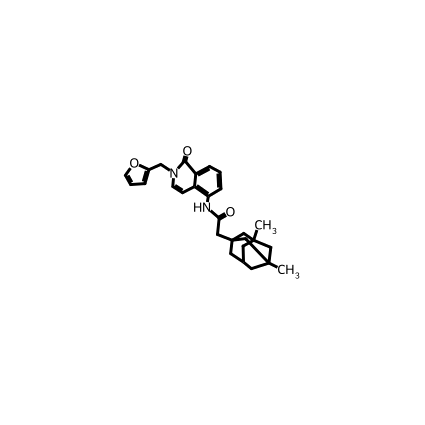 CC12CC3CC(C)(C1)CC(CC(=O)Nc1cccc4c(=O)n(Cc5ccco5)ccc14)(C3)C2